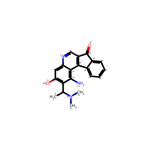 CC(c1c(O)cc2ncc3c(c2c1N)-c1ccccc1C3=O)N(C)C